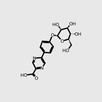 O=C(O)c1cnc(-c2ccc(O[C@@H]3O[C@H](CO)[C@@H](O)[C@H](O)[C@@H]3O)cc2)cn1